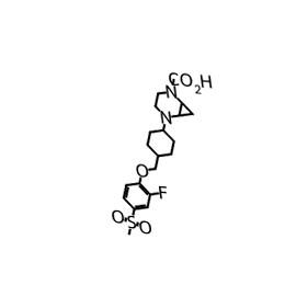 CS(=O)(=O)c1ccc(OCC2CCC(N3CCN(C(=O)O)C4CC43)CC2)c(F)c1